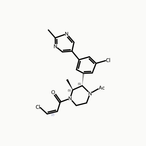 CC(=O)N1CCN(C(=O)/C=C\Cl)[C@@H](C)[C@@H]1c1cc(Cl)cc(-c2cnc(C)nc2)c1